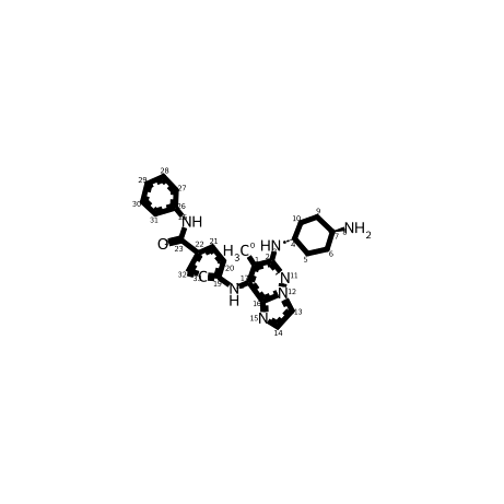 Cc1c(N[C@H]2CC[C@H](N)CC2)nn2ccnc2c1Nc1ccc(C(=O)Nc2ccccc2)cc1